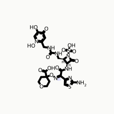 Nc1nc(/C(=N/OC2(C(=O)O)CCOCC2)C(=O)N[C@@H]2C(=O)N(S(=O)(=O)O)[C@@H]2CNC(=O)NCc2cc(=O)c(O)cn2O)cs1